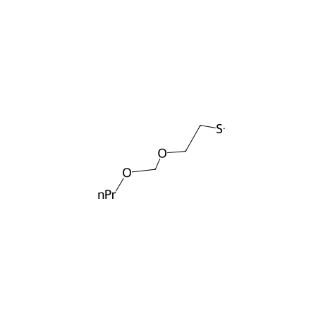 CCCOCOCC[S]